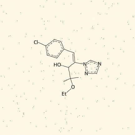 CCOC(C)(C)C(O)/C(=C\c1ccc(Cl)cc1)n1cncn1